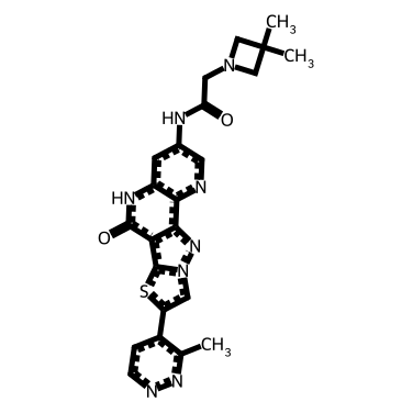 Cc1nnccc1-c1cn2nc3c4ncc(NC(=O)CN5CC(C)(C)C5)cc4[nH]c(=O)c3c2s1